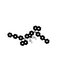 CC1(C)c2cc(N(c3ccc(-c4ccc(-c5ccccc5)cc4)cc3)c3cccc4ccccc34)ccc2-c2ccc(N(c3ccc(-c4ccc(-c5ccccc5)cc4)cc3)c3cccc4ccccc34)cc21